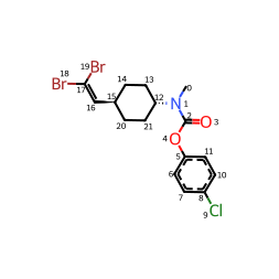 CN(C(=O)Oc1ccc(Cl)cc1)[C@H]1CC[C@H](C=C(Br)Br)CC1